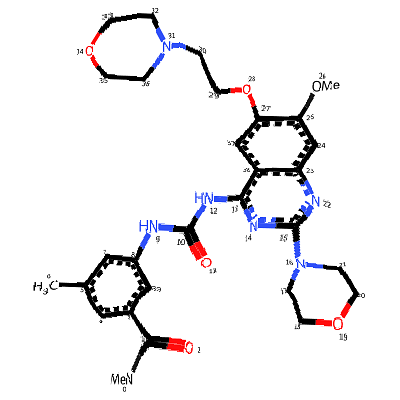 CNC(=O)c1cc(C)cc(NC(=O)Nc2nc(N3CCOCC3)nc3cc(OC)c(OCCN4CCOCC4)cc23)c1